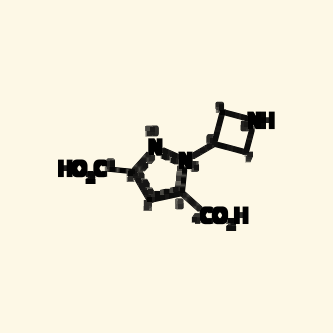 O=C(O)c1cc(C(=O)O)n(C2CNC2)n1